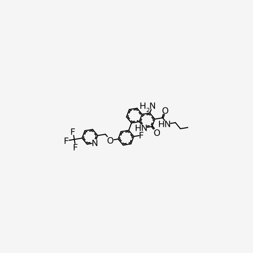 CCCNC(=O)c1c(N)c2cccc(-c3cc(OCc4ccc(C(F)(F)F)cn4)ccc3F)c2[nH]c1=O